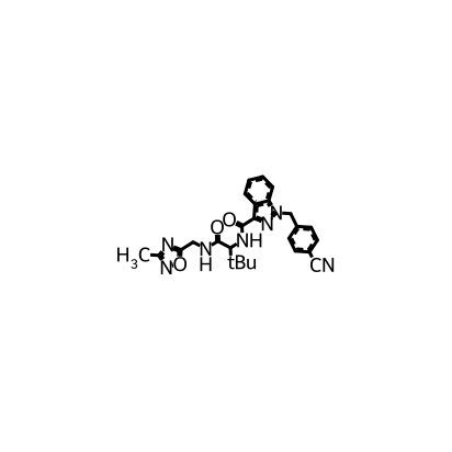 Cc1noc(CNC(=O)C(NC(=O)c2nn(Cc3ccc(C#N)cc3)c3ccccc23)C(C)(C)C)n1